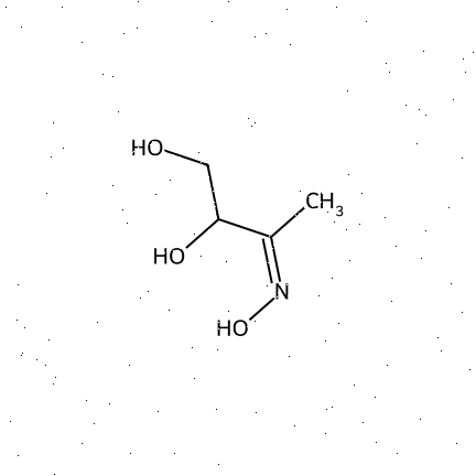 C/C(=N/O)C(O)CO